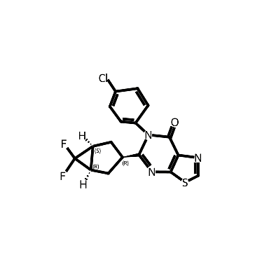 O=c1c2ncsc2nc([C@H]2C[C@@H]3[C@H](C2)C3(F)F)n1-c1ccc(Cl)cc1